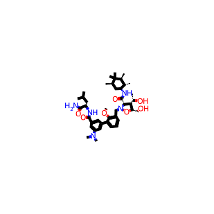 COc1c(CN2O[C@@H](CO)[C@@H]([C@H](C)O)[C@H]2C(=O)N[C@H]2C[C@@H](C)C(C)(C)[C@@H](C)[C@@H]2C)cccc1-c1cc(C(=O)N[C@@H](CC(C)C)C(N)=O)cc(N(C)C)c1